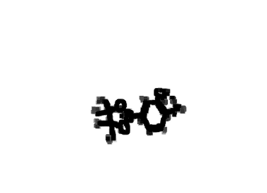 CC1(C)OB(c2ccc(F)c(C(F)(F)F)c2)OC1(C)C